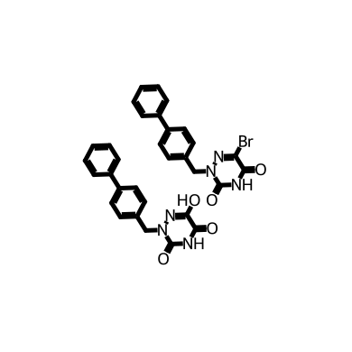 O=c1[nH]c(=O)n(Cc2ccc(-c3ccccc3)cc2)nc1Br.O=c1[nH]c(=O)n(Cc2ccc(-c3ccccc3)cc2)nc1O